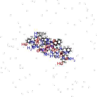 CCCC[C@@H](C(=O)N1C[C@H](O)C[C@@H]1C(=O)N[C@@H](CC(=O)O)C(=O)N[C@H](C(=O)N(C)C(Cc1ccccc1)C(=O)N[C@@H](CC(N)=O)C(=O)N1CC[C@@H](O)C1)C(C)C)N(C)C(=O)[C@H](Cc1ccccc1)N(C)C(=O)[C@H](Cc1cc(F)c(F)c(F)c1)NC(=O)CSC[C@H](NC(=O)[C@H](CN)NC(=O)[C@H](Cc1ccc(O)cc1)NC(=O)[C@H](Cc1c[nH]c2ccccc12)NC)C(=O)NCC(N)=O